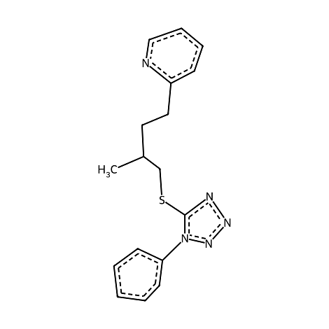 CC(CCc1ccccn1)CSc1nnnn1-c1ccccc1